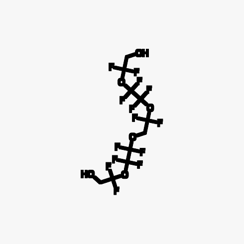 OCC(F)(F)OC(F)(F)C(F)(F)OCC(F)(F)OC(F)(F)C(F)(F)OC(F)(F)CO